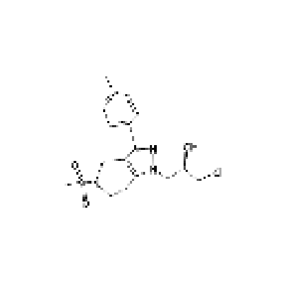 Cc1ccc(-c2nn(C[C@@H](O)CCl)c3c2CN(S(C)(=O)=O)CC3)cc1